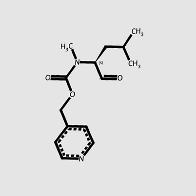 CC(C)C[C@@H]([C]=O)N(C)C(=O)OCc1ccncc1